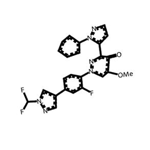 COc1cn(-c2ccc(-c3cnn(C(F)F)c3)cc2F)nc(-c2ccnn2-c2ccccc2)c1=O